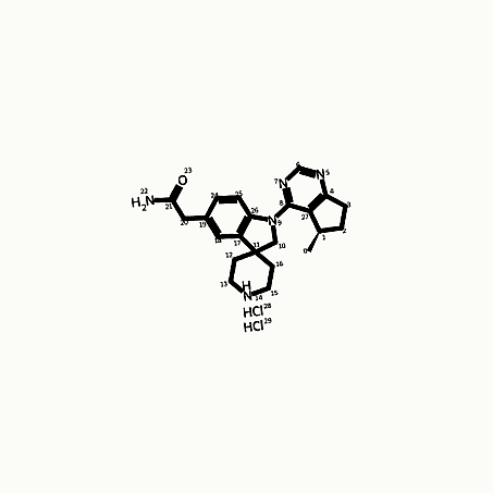 C[C@@H]1CCc2ncnc(N3CC4(CCNCC4)c4cc(CC(N)=O)ccc43)c21.Cl.Cl